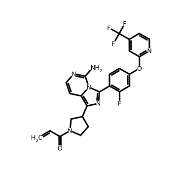 C=CC(=O)N1CCC(c2nc(-c3ccc(Oc4cc(C(F)(F)F)ccn4)cc3F)n3c(N)nccc23)C1